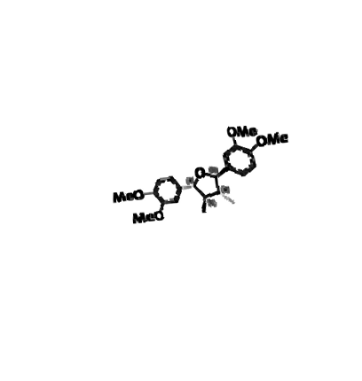 COc1ccc([C@@H]2O[C@@H](c3ccc(OC)c(OC)c3)[C@H](C)[C@H]2C)cc1OC